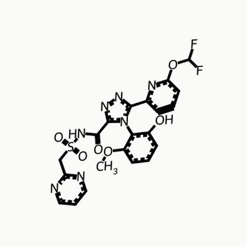 COc1cccc(O)c1-n1c(C(=O)NS(=O)(=O)Cc2ncccn2)nnc1-c1c#ccc(OC(F)F)n1